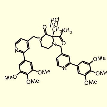 COc1cc(-c2cc(CN3CCN(Cc4ccnc(-c5cc(OC)c(OC)c(OC)c5)c4)[C@@](C)(C(N)=O)C3=O)ccn2)cc(OC)c1OC.Cl.Cl